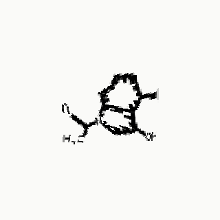 CC(=O)n1cc(O)c2c(I)cccc21